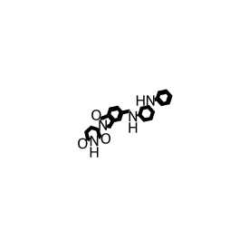 O=C1CCC(N2Cc3cc(CN[C@@H]4CCC[C@H](Nc5ccccc5)C4)ccc3C2=O)C(=O)N1